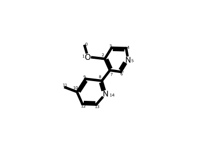 COc1ccn[c]c1-c1cc(C)ccn1